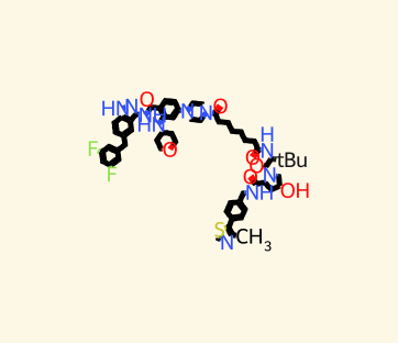 Cc1ncsc1-c1ccc(CNC(=O)C2CC(O)CN2C(=O)C(NC(=O)CCCCCCC(=O)N2CCN(c3ccc(C(=O)Nc4n[nH]c5ccc(Cc6cc(F)cc(F)c6)cc45)c(NC4CCOCC4)c3)CC2)C(C)(C)C)cc1